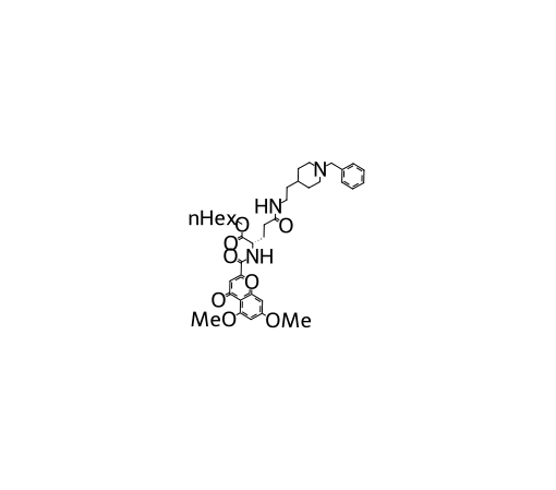 CCCCCCOC(=O)[C@H](CCC(=O)NCCC1CCN(Cc2ccccc2)CC1)NC(=O)c1cc(=O)c2c(OC)cc(OC)cc2o1